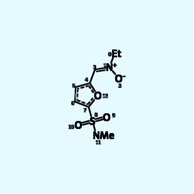 CC[N+]([O-])=Cc1ccc(S(=O)(=O)NC)o1